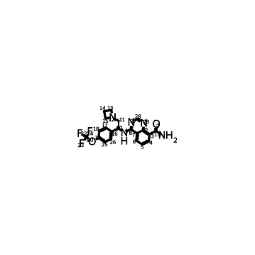 NC(=O)c1cccc2c(N[C@H](CN3CCC3)c3ccc(OC(F)(F)F)cc3)ncnc12